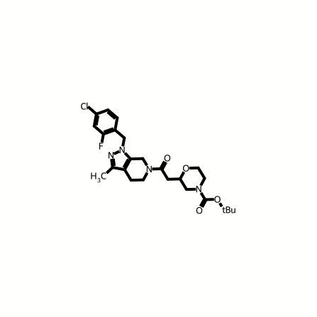 Cc1nn(Cc2ccc(Cl)cc2F)c2c1CCN(C(=O)CC1CN(C(=O)OC(C)(C)C)CCO1)C2